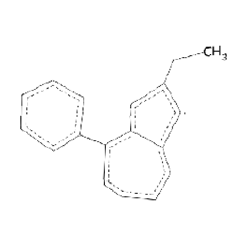 CCc1[c]c2ccccc(-c3ccccc3)c-2c1